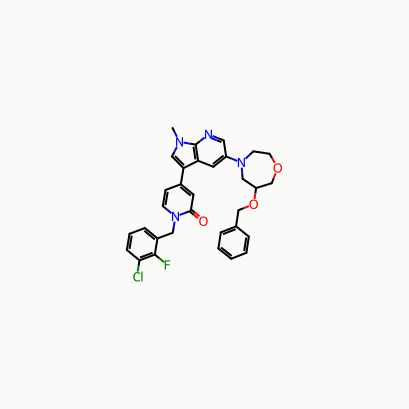 Cn1cc(-c2ccn(Cc3cccc(Cl)c3F)c(=O)c2)c2cc(N3CCOCC(OCc4ccccc4)C3)cnc21